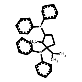 CC(C)C1(P(c2ccccc2)c2ccccc2)CCC(P(c2ccccc2)c2ccccc2)C1C